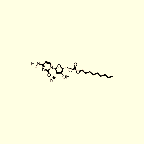 CCCCCCCCCOC(=O)OC[C@H]1O[C@@H](n2ccc(N)nc2=O)[C@@H](C#N)[C@@H]1O